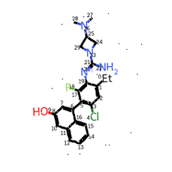 CCc1cc(Cl)c(-c2cc(O)cc3ccccc23)c(F)c1/N=C(\N)N1CC(N(C)C)C1